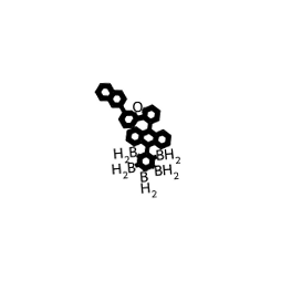 Bc1c(B)c(B)c(-c2c3ccccc3c(-c3cccc4oc5c(-c6ccc7ccccc7c6)cccc5c34)c3ccccc23)c(B)c1B